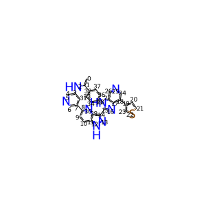 C=C(Nc1cncc(-c2ccc3[nH]nc(-c4nc5c(-c6ccsc6)cncc5[nH]4)c3n2)c1)c1ccccc1